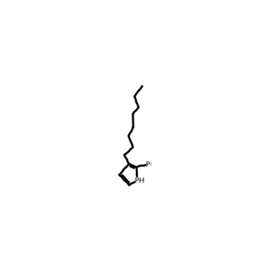 CCCCCCCCc1cc[pH]c1[P]